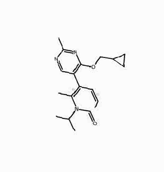 C/C=C\C(=C(\C)N(C=O)C(C)C)c1cnc(C)nc1OCC1CC1